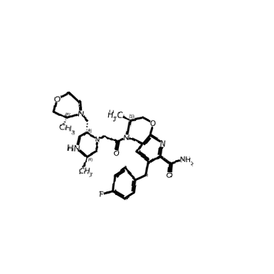 C[C@@H]1CN(CC(=O)N2c3cc(Cc4ccc(F)cc4)c(C(N)=O)nc3OC[C@@H]2C)[C@@H](CN2CCOC[C@H]2C)CN1